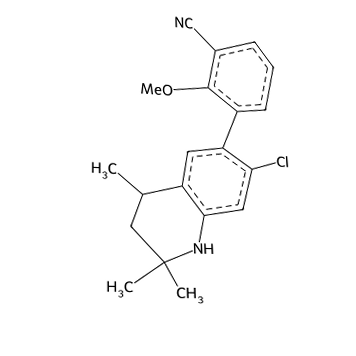 COc1c(C#N)cccc1-c1cc2c(cc1Cl)NC(C)(C)CC2C